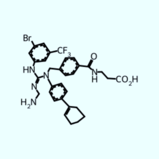 NC/N=C(/Nc1cc(Br)cc(C(F)(F)F)c1)N(Cc1ccc(C(=O)NCCC(=O)O)cc1)c1ccc(C2=CCCCC2)cc1